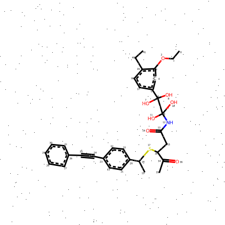 CCOc1cc(C(O)(O)C(O)(O)NC(=O)CC(SC(C)c2ccc(C#Cc3ccccc3)cc2)C(C)=O)ccc1CC